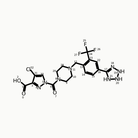 O=C(O)c1nn(C(=O)N2CCN(Cc3ccc(C4=NNNN4)cc3C(F)(F)F)CC2)cc1Cl